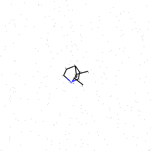 CC1=C(C)N2CCC1CC2